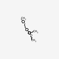 C=C[C@H]1CC[C@H](CCCCC2CCC(c3ccc(OCC=CC)c(CCC)c3)CC2)CC1